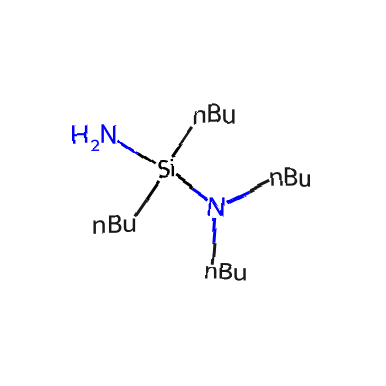 CCCCN(CCCC)[Si](N)(CCCC)CCCC